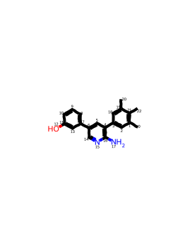 Cc1cc(-c2cc(-c3cccc(O)c3)cnc2N)cc(C)c1C